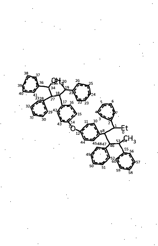 CCC(c1ccccc1)C(c1ccc(Oc2ccc(C(C(CC)c3ccccc3)C(c3ccccc3)C(C)c3ccccc3)cc2)cc1)C(c1ccccc1)C(C)c1ccccc1